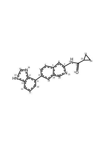 O=C(Nc1cc2ccc(-c3cccc4[nH]cnc34)cc2cn1)C1CC1